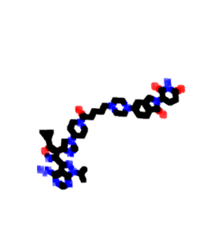 CC(C)n1nc(-c2noc(C3CC3)c2-c2cn(C3CCN(C(=O)CCCCN4CCN(c5ccc6c(c5)CN(C5CCC(=O)NC5=O)C6=O)CC4)CC3)cn2)c2c(N)ncnc21